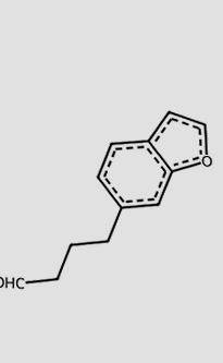 O=CCCCc1ccc2ccoc2c1